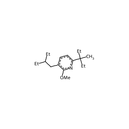 CCC(CC)Cc1ccc(C(C)(CC)CC)nc1OC